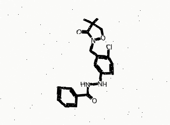 CC1(C)CON(Cc2cc(NNC(=O)c3ccccc3)ccc2Cl)C1=O